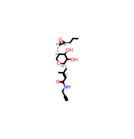 C#CCNC(=O)/C=C(\C)C[C@@H]1OC[C@H](C[C@@H]2O[C@H]2CCC)C(O)C1O